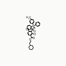 Cc1ccc(S(OS(=O)(=O)c2c(Cl)ccc(C(=O)OCCC3CCCCC3)c2Cl)(c2ccccc2)c2ccccc2)cc1